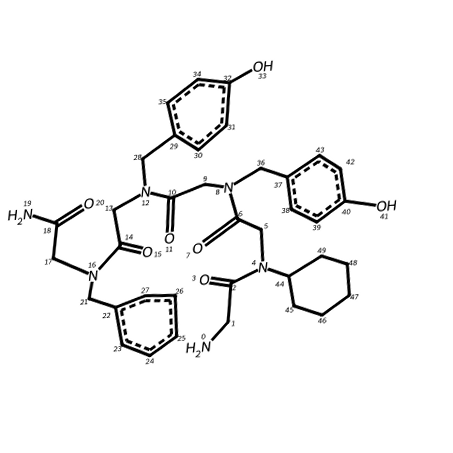 NCC(=O)N(CC(=O)N(CC(=O)N(CC(=O)N(CC(N)=O)Cc1ccccc1)Cc1ccc(O)cc1)Cc1ccc(O)cc1)C1CCCCC1